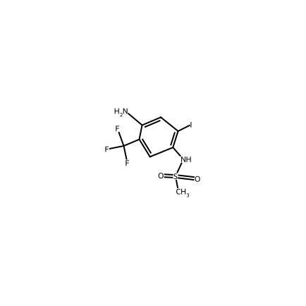 CS(=O)(=O)Nc1cc(C(F)(F)F)c(N)cc1I